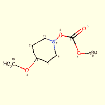 CC(C)(C)OC(=O)ON1CCC(OC(=O)O)CC1